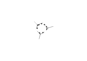 [CH2][CH]c1nc([CH][CH2])nc([CH][CH2])n1